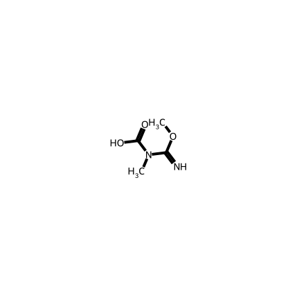 COC(=N)N(C)C(=O)O